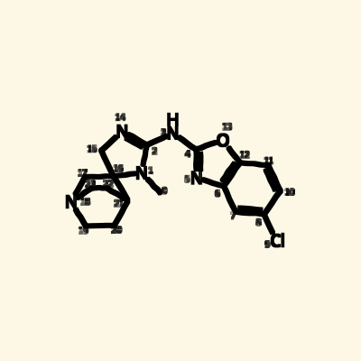 CN1C(Nc2nc3cc(Cl)ccc3o2)=NCC12CN1CCC2CC1